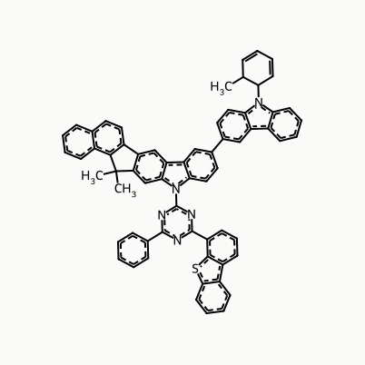 CC1C=CC=CC1n1c2ccccc2c2cc(-c3ccc4c(c3)c3cc5c(cc3n4-c3nc(-c4ccccc4)nc(-c4cccc6c4sc4ccccc46)n3)C(C)(C)c3c-5ccc4ccccc34)ccc21